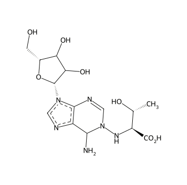 C[C@@H](O)[C@H](NN1C=Nc2c(ncn2[C@@H]2O[C@H](CO)C(O)C2O)C1N)C(=O)O